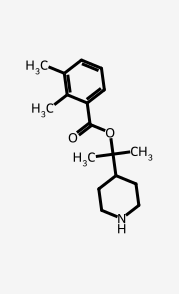 Cc1cccc(C(=O)OC(C)(C)C2CCNCC2)c1C